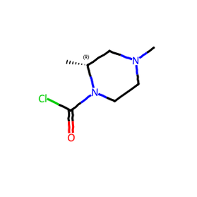 C[C@@H]1CN(C)CCN1C(=O)Cl